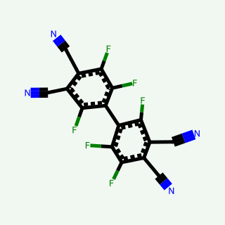 N#Cc1c(F)c(F)c(-c2c(F)c(F)c(C#N)c(C#N)c2F)c(F)c1C#N